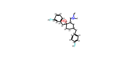 CN(C)CC1CC(Cc2ccc(F)cc2)CCC1(O)Cc1cccc(F)c1